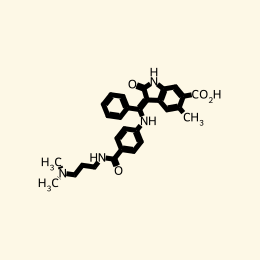 Cc1cc2c(cc1C(=O)O)NC(=O)C2=C(Nc1ccc(C(=O)NCCCN(C)C)cc1)c1ccccc1